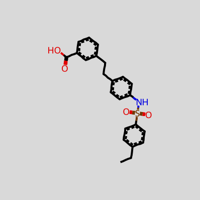 CCc1ccc(S(=O)(=O)Nc2ccc(CCc3cccc(C(=O)O)c3)cc2)cc1